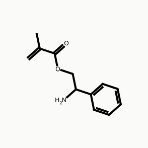 C=C(C)C(=O)OCC(N)c1ccccc1